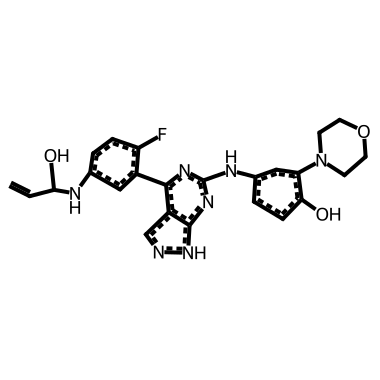 C=CC(O)Nc1ccc(F)c(-c2nc(Nc3ccc(O)c(N4CCOCC4)c3)nc3[nH]ncc23)c1